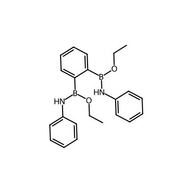 CCOB(Nc1ccccc1)c1ccccc1B(Nc1ccccc1)OCC